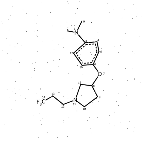 CN(C)c1ccc(OC2CCN(CCC(F)(F)F)C2)cc1